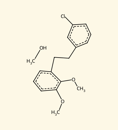 CO.COc1cccc(CCc2cccc(Cl)c2)c1OC